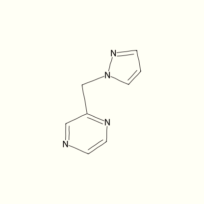 c1cnn(Cc2cnccn2)c1